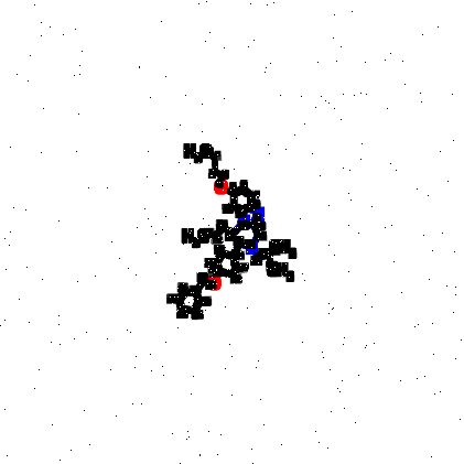 CCCCOc1ccc2nc(CN(Cc3ccc(OCc4ccccc4)cc3)CC(C)C)n(CCCC)c2c1